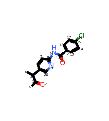 CC(=O)C(C)c1ccc(NC(=O)c2ccc(Cl)cc2)nc1